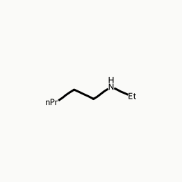 CCCCCNCC